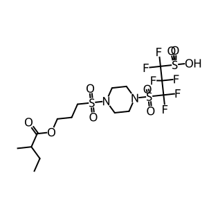 CCC(C)C(=O)OCCCS(=O)(=O)N1CCN(S(=O)(=O)C(F)(F)C(F)(F)C(F)(F)S(=O)(=O)O)CC1